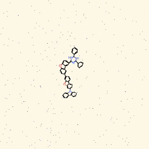 C1=Cc2c(n(-c3ccc4c(c3)oc3cc(-c5ccc6oc7ccc(C8N=C(c9ccccc9)NC(c9ccccc9)N8)cc7c6c5)ccc34)c3ccccc23)CC1